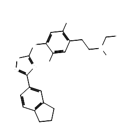 CCN(C)CCc1cc(C)c(Oc2nc(-c3ccc4c(c3)CCC4)ns2)cc1C